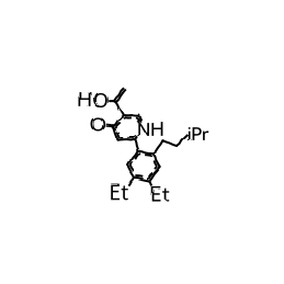 C=C(O)c1c[nH]c(-c2cc(CC)c(CC)cc2CCC(C)C)cc1=O